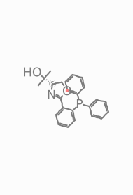 CC(C)(O)[C@@H]1COC(c2ccccc2P(c2ccccc2)c2ccccc2)=N1